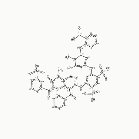 CN1C(O)=NC(Nc2cc(Nc3ccc4c5c3C(=O)c3ccccc3-c5c(C(=O)c3cccc(S(=O)(=O)O)c3)c(=O)n4C)c(S(=O)(=O)O)cc2S(=O)(=O)O)=NC1Nc1ccccc1C(=O)O